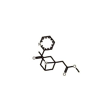 COC(=O)CC12CC(C)CC(C1)N2C(=O)c1ccccn1